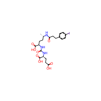 C[C@@H](CCC(NC(=O)N[C@@H](CCC(=O)O)C(=O)O)C(=O)O)NC(=O)CCc1ccc(I)cc1